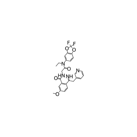 CCN(C(=O)CNC(=O)c1cc(OC)ccc1C(=N)Cc1cccnc1)c1ccc2c(c1)OC(F)(F)O2